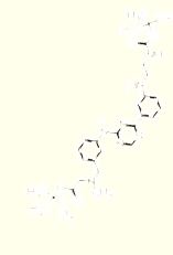 CN(CC(=O)OC(C)(C)C)Cc1cccc(Nc2ncnc(-c3cccc(NCCNC(=O)OC(C)(C)C)c3)n2)c1